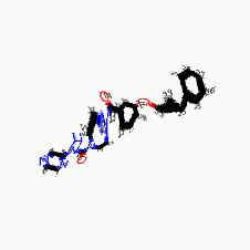 O=C(Nc1cnccn1)N1CCN(C(=O)c2cccc(OCCCc3ccccc3)c2)CC1